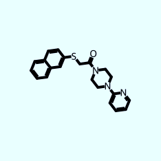 O=C(CSc1ccc2ccccc2c1)N1CCN(c2ccccn2)CC1